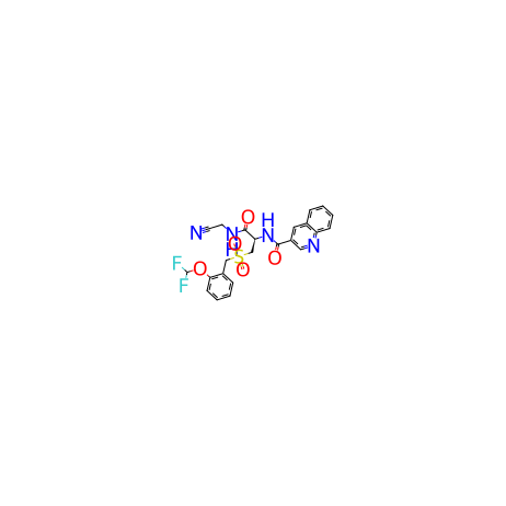 N#CCNC(=O)[C@H](CS(=O)(=O)Cc1ccccc1OC(F)F)NC(=O)c1cnc2ccccc2c1